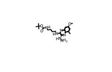 COc1cc(C)c2nc(NN)c(NCCCCNC(=O)OC(C)(C)C)nc2c1